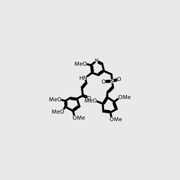 COc1cc(OC)c(C=CS(=O)(=O)Cc2cnc(OC)c(NC=CC(=O)c3cc(OC)c(OC)c(OC)c3)c2)c(OC)c1